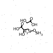 O=C(O)C(O)C[SiH2]O[SiH3].O=C(O)CO